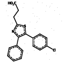 O=C(O)CCc1nc(-c2ccccc2)c(-c2ccc(Cl)cc2)s1